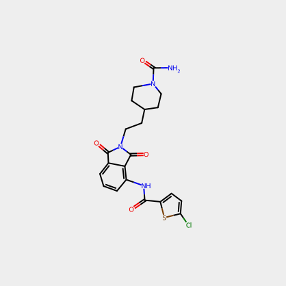 NC(=O)N1CCC(CCN2C(=O)c3cccc(NC(=O)c4ccc(Cl)s4)c3C2=O)CC1